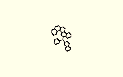 c1ccc(N(c2ccc3ccccc3c2)c2cc3c(ccc4ccc5ccccc5c43)c3ccccc23)cc1